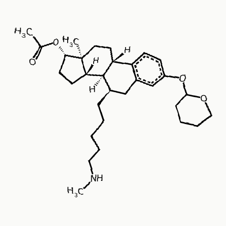 CNCCCCC[C@@H]1Cc2cc(OC3CCCCO3)ccc2[C@H]2CC[C@]3(C)[C@@H](OC(C)=O)CC[C@H]3[C@H]12